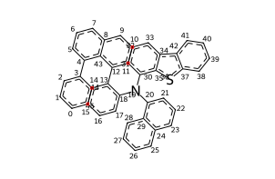 c1ccc(-c2cccc3cccc(-c4ccccc4N(c4cccc5ccccc45)c4cccc5c4sc4ccccc45)c23)cc1